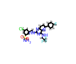 NS(=O)(=O)c1cc(Cl)cc(CNc2nc(NCC(F)(F)F)c3nc(-c4ccc(F)cc4)ccc3n2)c1